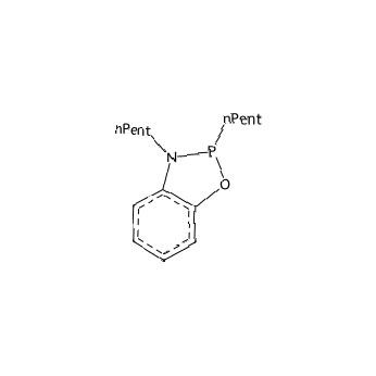 CCCCCN1c2ccccc2OP1CCCCC